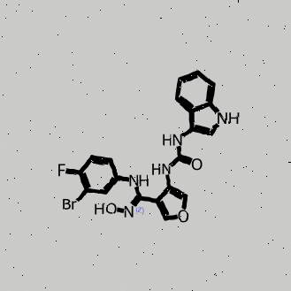 O=C(Nc1cocc1/C(=N/O)Nc1ccc(F)c(Br)c1)Nc1c[nH]c2ccccc12